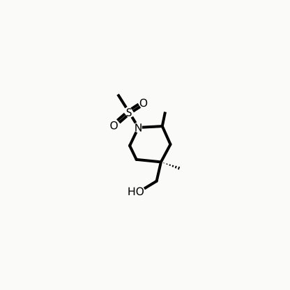 CC1C[C@@](C)(CO)CCN1S(C)(=O)=O